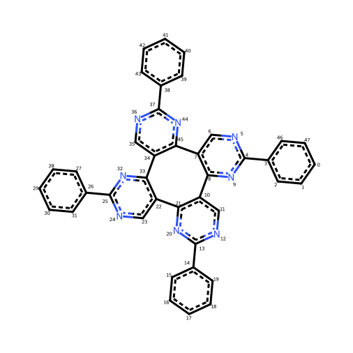 c1ccc(-c2ncc3c(n2)-c2cnc(-c4ccccc4)nc2-c2cnc(-c4ccccc4)nc2-c2cnc(-c4ccccc4)nc2-3)cc1